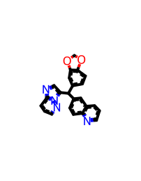 c1cnc2ccc(C(c3ccc4c(c3)OCO4)c3cnc4cccnn34)cc2c1